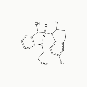 CCc1ccc2c(c1)CCC(CC)N2S(=O)(=O)C(O)c1ccccc1OCCSC